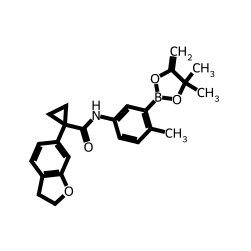 C=C1OB(c2cc(NC(=O)C3(c4ccc5c(c4)OCC5)CC3)ccc2C)OC1(C)C